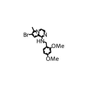 COc1ccc(CNc2nccn3c(C)c(Br)cc23)c(OC)c1